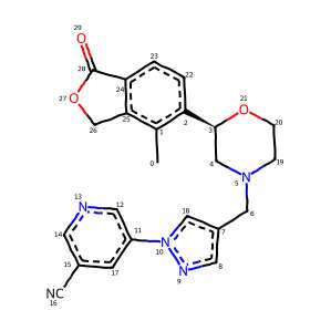 Cc1c([C@@H]2CN(Cc3cnn(-c4cncc(C#N)c4)c3)CCO2)ccc2c1COC2=O